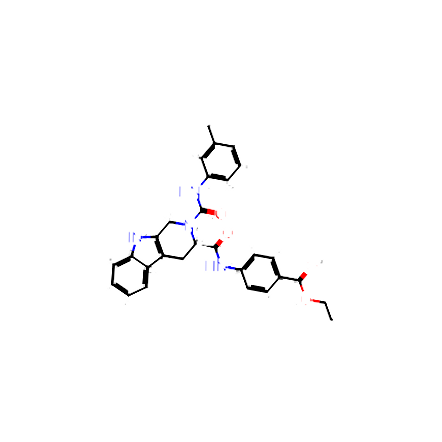 CCOC(=O)c1ccc(NC(=O)[C@H]2Cc3c([nH]c4ccccc34)CN2C(=O)Nc2cccc(C)c2)cc1